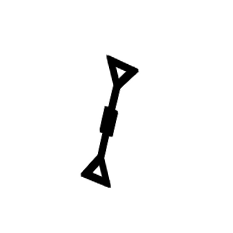 C(#CC1CC1)C1CC1